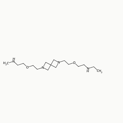 CCNCCOCCN1CC2(CN(CCOCCNC)C2)C1